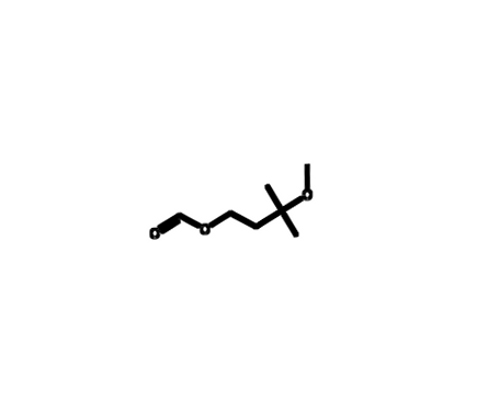 COC(C)(C)CCOC=O